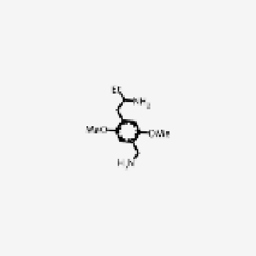 CCC(N)Cc1cc(OC)c(CN)cc1OC